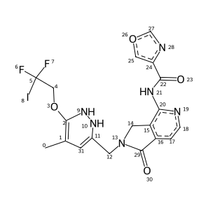 CC1=C(OCC(F)(F)I)NNC(CN2Cc3c(ccnc3NC(=O)c3cocn3)C2=O)=C1